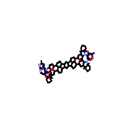 Cc1cc(N2c3ccc(-c4ccc5c6cc7c(cc6c6ccc(-c8ccc9c(c8)C8(C)CCCCC8(C)N9c8ccnc(C)c8)c4c56)c4ccc(-c5ccc6c(c5)C5(C)CCCCC5(C)N6c5ccnc(C)c5)c5c(-c6ccc8c(c6)C6(C)CCCCC6(C)N8c6ccnc(C)c6)ccc7c54)cc3C3(C)CCCCC23C)ccn1